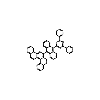 c1ccc(-c2nc(-c3ccccc3)nc(-c3c4ccccc4c(-c4nc5c6ccccc6ccc5c5c4ccc4ccccc45)c4ccccc34)n2)cc1